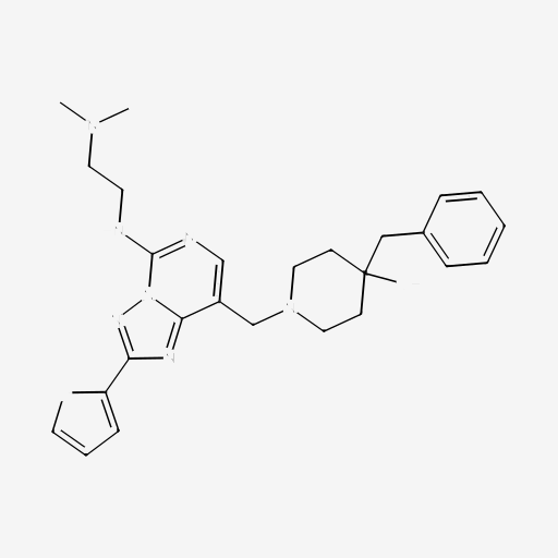 CN(C)CCNc1ncc(CN2CCC(O)(Cc3ccccc3)CC2)c2nc(-c3ccco3)nn12